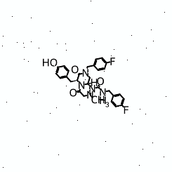 CN1CC(=O)N2[C@@H](Cc3ccc(O)cc3)C(=O)N(Cc3ccc(F)cc3)C[C@@H]2N1C(=O)NCc1ccc(F)cc1